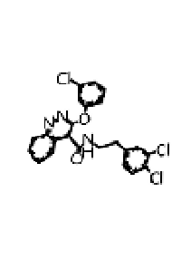 O=C(NCCc1ccc(Cl)c(Cl)c1)c1c(Oc2cccc(Cl)c2)nnc2ccccc12